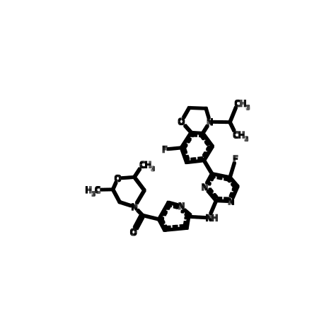 CC1CN(C(=O)c2ccc(Nc3ncc(F)c(-c4cc(F)c5c(c4)N(C(C)C)CCO5)n3)nc2)CC(C)O1